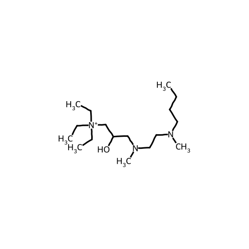 CCCCN(C)CCN(C)CC(O)C[N+](CC)(CC)CC